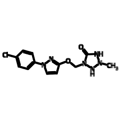 CN1NC(=O)N(COc2ccn(-c3ccc(Cl)cc3)n2)N1